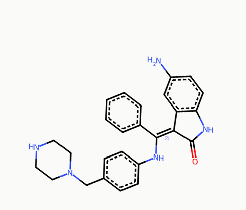 Nc1ccc2c(c1)/C(=C(/Nc1ccc(CN3CCNCC3)cc1)c1ccccc1)C(=O)N2